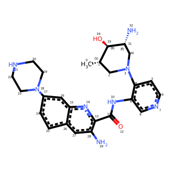 C[C@H]1CN(c2ccncc2NC(=O)c2nc3cc(N4CCNCC4)ccc3cc2N)C[C@@H](N)[C@@H]1O